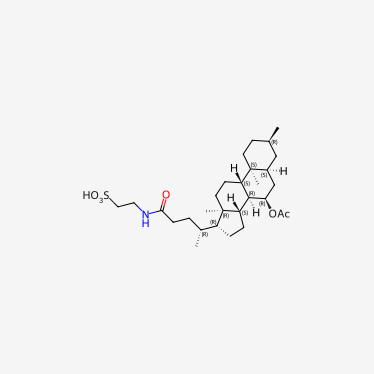 CC(=O)O[C@@H]1C[C@@H]2C[C@H](C)CC[C@]2(C)[C@H]2CC[C@]3(C)[C@@H]([C@H](C)CCC(=O)NCCS(=O)(=O)O)CC[C@H]3[C@H]12